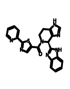 O=C(c1cnc(-c2ccccn2)s1)N1CCc2[nH]cnc2[C@H]1c1nc2ccccc2[nH]1